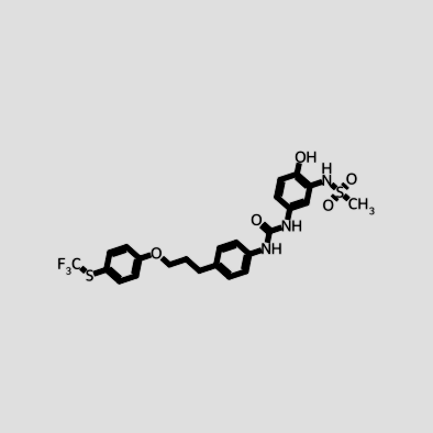 CS(=O)(=O)Nc1cc(NC(=O)Nc2ccc(CCCOc3ccc(SC(F)(F)F)cc3)cc2)ccc1O